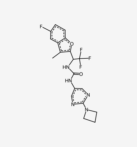 Cc1c(C(NC(=O)Nc2cnc(N3CCC3)nc2)C(F)(F)F)oc2ccc(F)cc12